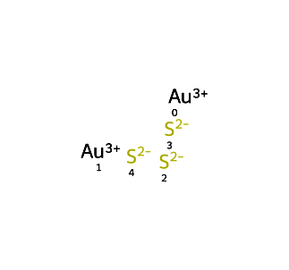 [Au+3].[Au+3].[S-2].[S-2].[S-2]